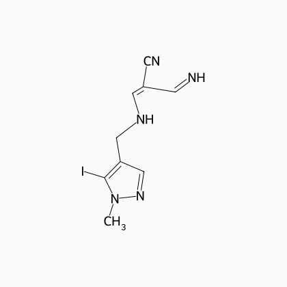 Cn1ncc(CN/C=C(/C#N)C=N)c1I